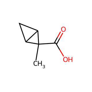 CC1(C(=O)O)C2CC21